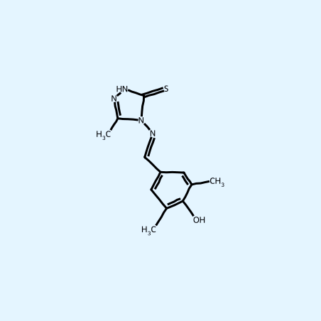 Cc1cc(C=Nn2c(C)n[nH]c2=S)cc(C)c1O